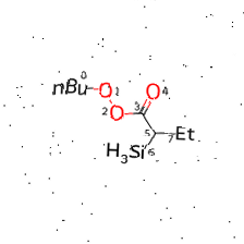 CCCCOOC(=O)C([SiH3])CC